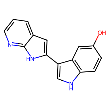 Oc1ccc2[nH]cc(-c3cc4cccnc4[nH]3)c2c1